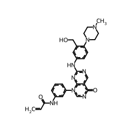 C=CC(=O)Nc1cccc(-n2cnc(=O)c3cnc(Nc4ccc(N5CCN(C)CC5)c(CO)c4)nc32)c1